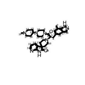 Cc1cc(C[C@H](C(=O)N2CCN(C3CCN(C)CC3)CC2)N2CCC3(CC2)C(=O)Nc2ncccc23)cc2cn[nH]c12